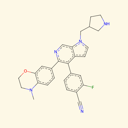 CN1CCOc2cc(-c3ncc4c(ccn4CC4CCNC4)c3-c3ccc(C#N)c(F)c3)ccc21